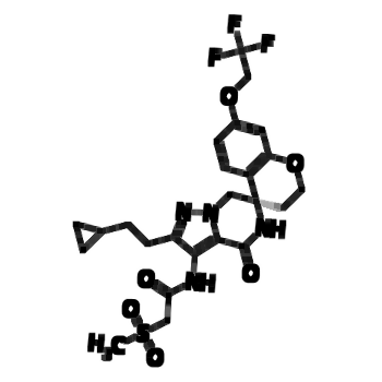 CS(=O)(=O)CC(=O)Nc1c(CCC2CC2)nn2c1C(=O)N[C@@]1(CCOc3cc(OCC(F)(F)F)ccc31)C2